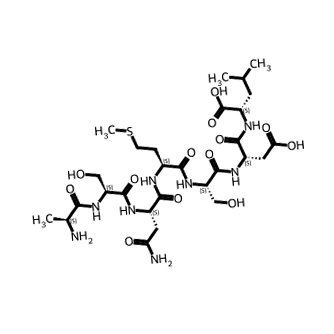 CSCC[C@H](NC(=O)[C@H](CC(N)=O)NC(=O)[C@H](CO)NC(=O)[C@H](C)N)C(=O)N[C@@H](CO)C(=O)N[C@@H](CC(=O)O)C(=O)N[C@@H](CC(C)C)C(=O)O